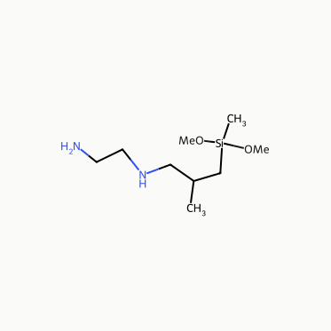 CO[Si](C)(CC(C)CNCCN)OC